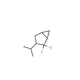 CC(C)C1CC2CC2C1(F)F